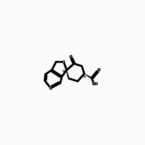 O=C(O)[C@@H]1CC[C@]2(OCc3ccncc32)C(=O)C1